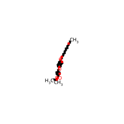 CCCCCCCCCCCCCCCOc1ccc2cc(OCc3ccc(C(=O)OC[C@H](C)CC)cc3)ccc2c1